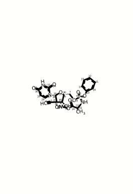 C#C[C@]1(OC)[C@H](O)[C@@H](COP(=O)(N[C@@H](C)C(=O)OC(C)C)Oc2ccccc2)O[C@H]1n1ccc(=O)[nH]c1=O